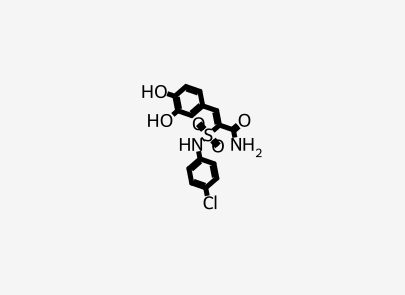 NC(=O)C(=Cc1ccc(O)c(O)c1)S(=O)(=O)Nc1ccc(Cl)cc1